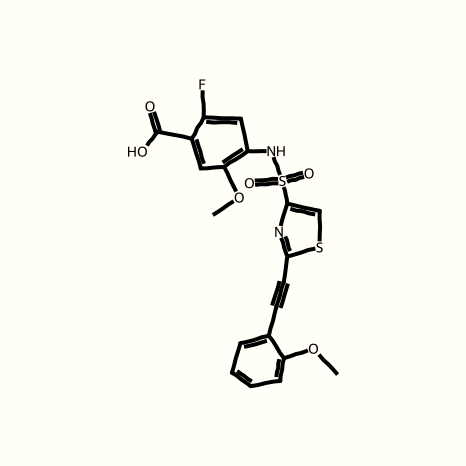 COc1ccccc1C#Cc1nc(S(=O)(=O)Nc2cc(F)c(C(=O)O)cc2OC)cs1